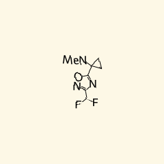 CNC1(c2nc(C(F)F)no2)CC1